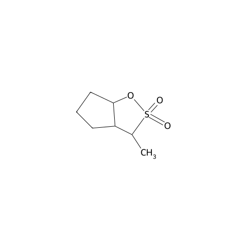 CC1C2CCCC2OS1(=O)=O